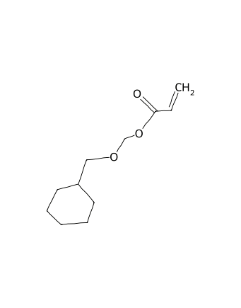 C=CC(=O)OCOCC1CCCCC1